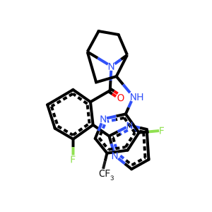 O=C(c1cccc(F)c1-c1ncccn1)N1C2CCC1C(Nc1ncc(C(F)(F)F)cc1F)C2